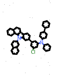 Clc1cc(-c2ccc3c4ccc5ccccc5c4n(-c4ccc5ccccc5c4)c3c2)cc(N(c2ccccc2)c2ccc(-c3ccccc3)cc2)c1